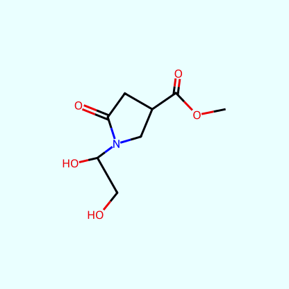 COC(=O)C1CC(=O)N(C(O)CO)C1